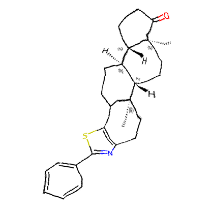 C[C@]12CCc3nc(-c4ccccc4)sc3C1CC[C@@H]1[C@@H]2CC[C@]2(C)C(=O)CC[C@@H]12